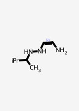 CC(C)C(C)NN/C=C\N